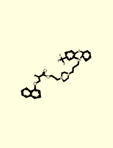 CC(COc1cccc2ccccc12)C(=O)OCCN1CCN(CCCN2c3ccccc3Sc3ccc(C(F)(F)F)cc32)CC1